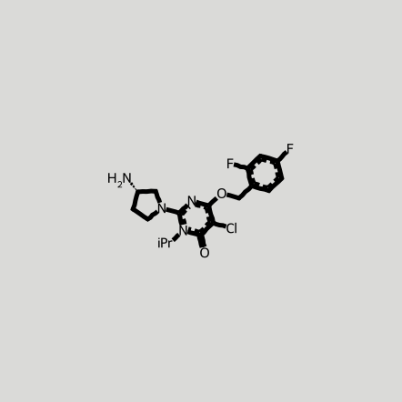 CC(C)n1c(N2CC[C@H](N)C2)nc(OCc2ccc(F)cc2F)c(Cl)c1=O